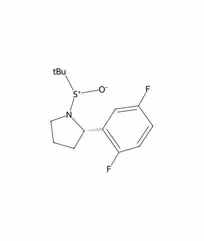 CC(C)(C)[S+]([O-])N1CCC[C@H]1c1cc(F)ccc1F